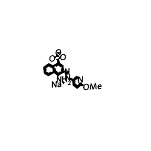 COc1ccc(N=Nc2cc(S(=O)(=O)[O-])c3ccccc3c2N)cn1.[Na+]